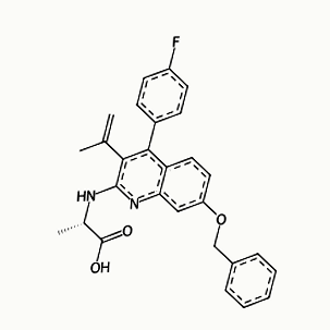 C=C(C)c1c(N[C@@H](C)C(=O)O)nc2cc(OCc3ccccc3)ccc2c1-c1ccc(F)cc1